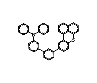 c1ccc(B(c2ccccc2)c2cccc(-c3cccc(-c4ccc5c(c4)-c4cccc6cccc(c46)S5)c3)c2)cc1